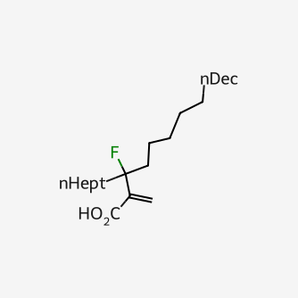 C=C(C(=O)O)C(F)(CCCCCCC)CCCCCCCCCCCCCCC